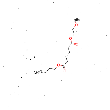 CCCCOCCOC(=O)CCCCC(=O)OCCCOC